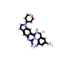 Cc1nc(N[C@H](C)c2cc(N)cc(C(F)(F)F)c2)c2cc3c(cc2n1)CCN3C1CCOCC1